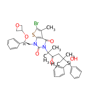 Cc1c(Br)sc2c1c(=O)n(C(C)(C)C(=O)CC(C)(C)[Si](O)(c1ccccc1)c1ccccc1)c(=O)n2C[C@H](OC1COC1)c1ccccc1